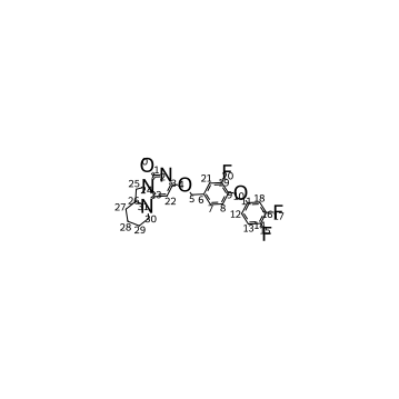 O=c1nc(OCc2ccc(Oc3ccc(F)c(F)c3)c(F)c2)cc2n1CC1CCCCN21